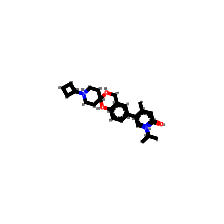 Cc1cc(=O)n(C(C)C)cc1-c1ccc2c(c1)COC1(CCN(C3CCC3)CC1)O2